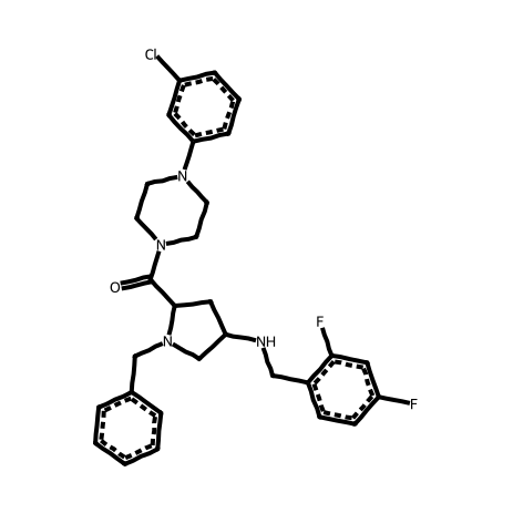 O=C(C1CC(NCc2ccc(F)cc2F)CN1Cc1ccccc1)N1CCN(c2cccc(Cl)c2)CC1